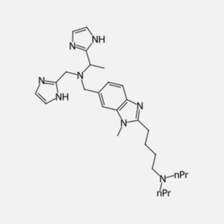 CCCN(CCC)CCCCc1nc2ccc(CN(Cc3ncc[nH]3)C(C)c3ncc[nH]3)cc2n1C